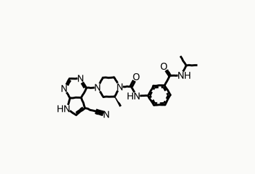 CC(C)NC(=O)c1cccc(NC(=O)N2CCN(C3=NC=NC4NC=C(C#N)C34)C[C@@H]2C)c1